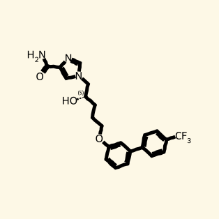 NC(=O)c1cn(C[C@@H](O)CCCOc2cccc(-c3ccc(C(F)(F)F)cc3)c2)cn1